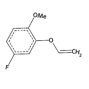 C=COc1cc(F)ccc1OC